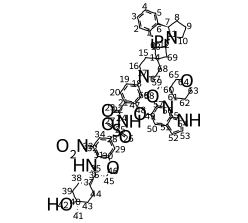 CC(C)c1ccccc1[C@H]1CCCN1C1CC2(CCN(c3ccc(C(=O)NS(=O)(=O)c4cc5c(c([N+](=O)[O-])c4)N[C@@H]([C@H]4CC[C@](C)(O)CC4)CO5)c(Oc4cc5cc[nH]c5nc4OC[C@H]4CCCOC4)c3)CC2)C1